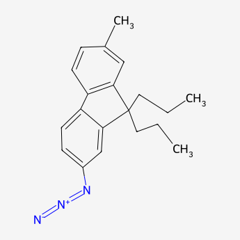 CCCC1(CCC)c2cc(C)ccc2-c2ccc(N=[N+]=[N-])cc21